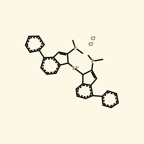 CP(C)C1=Cc2c(-c3ccccc3)cccc2[CH]1[Ti+2][CH]1C(P(C)C)=Cc2c(-c3ccccc3)cccc21.[Cl-].[Cl-]